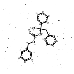 CC(Cc1ccccn1)(NC(=O)OCc1ccccc1)c1ccccc1